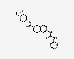 O=C(O)C[C@H]1CC[C@H](OC(=O)N2CCc3cc(NC(=O)Nc4cccnc4)ccc3C2)CC1